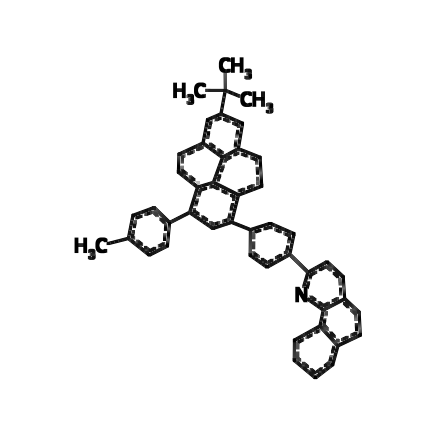 Cc1ccc(-c2cc(-c3ccc(-c4ccc5ccc6ccccc6c5n4)cc3)c3ccc4cc(C(C)(C)C)cc5ccc2c3c54)cc1